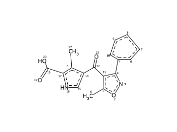 Cc1onc(-c2ccccc2)c1C(=O)c1c[nH]c(C(=O)O)c1C